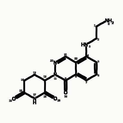 NCCNc1cccc2c(=O)n(C3CCC(=O)NC3=O)ncc12